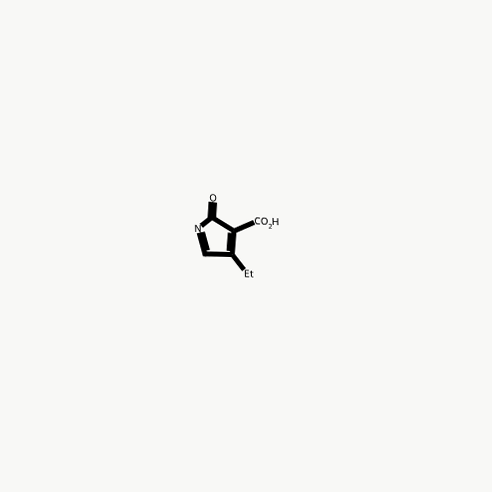 CCC1=C(C(=O)O)C(=O)N=C1